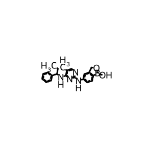 CCC(Nc1nc(Nc2ccc3c(c2)COB3O)ncc1C)c1ccccc1